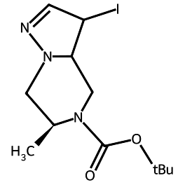 C[C@H]1CN2N=CC(I)C2CN1C(=O)OC(C)(C)C